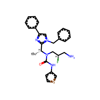 CC(C)(C)[C@H](c1nc(-c2ccccc2)cn1Cc1ccccc1)N(C[C@H](F)CN)C(=O)Nc1ccsc1